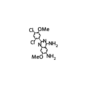 COc1cc2nc(-c3cc(OC)c(Cl)cc3Cl)nc(N)c2cc1N